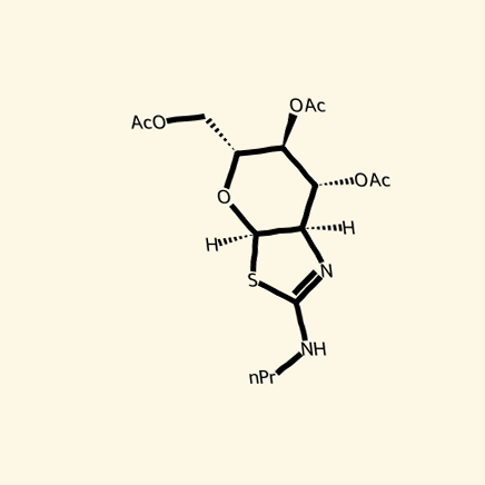 CCCNC1=N[C@@H]2[C@@H](OC(C)=O)[C@H](OC(C)=O)[C@@H](COC(C)=O)O[C@@H]2S1